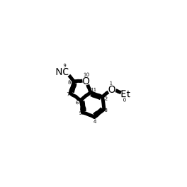 CCOc1cccc2cc(C#N)oc12